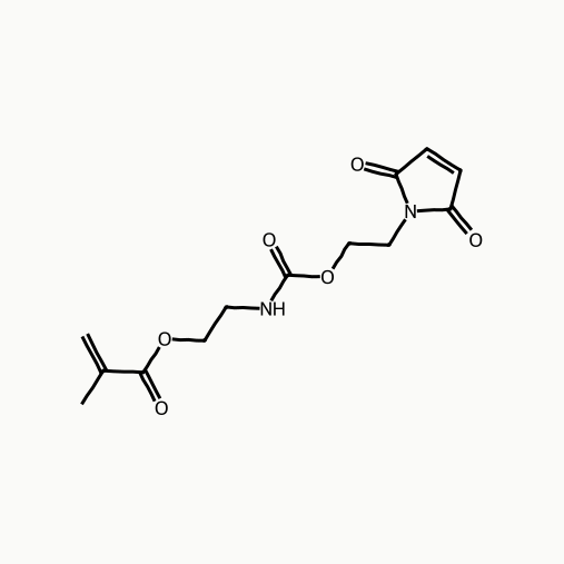 C=C(C)C(=O)OCCNC(=O)OCCN1C(=O)C=CC1=O